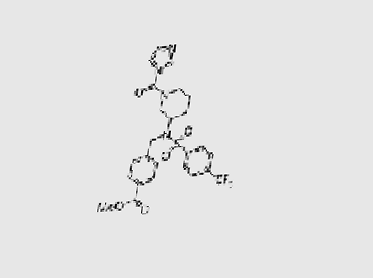 COC(=O)c1ccc(CN(C2CCCN(C(=O)n3ccnc3)C2)S(=O)(=O)c2ccc(C(F)(F)F)cc2)cc1